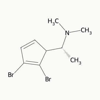 C[C@H](C1C=CC(Br)=C1Br)N(C)C